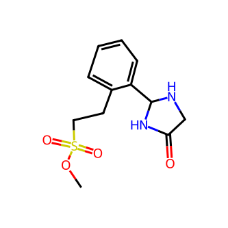 COS(=O)(=O)CCc1ccccc1C1NCC(=O)N1